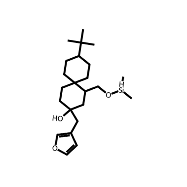 C[SiH](C)OCC1CC(O)(Cc2ccoc2)CCC12CCC(C(C)(C)C)CC2